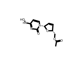 CC(=O)OC[C@H]1C=C[C@@H](n2ccc(NO)nc2=O)O1